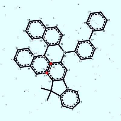 CC1(C)c2ccccc2-c2cc(N(c3cccc(-c4ccccc4)c3)c3ccc4ccccc4c3-c3cccc4ccccc34)ccc21